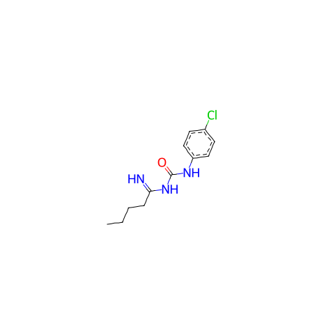 CCCCC(=N)NC(=O)Nc1ccc(Cl)cc1